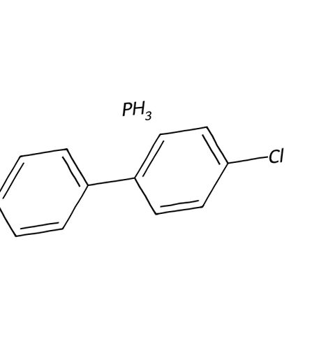 Clc1ccc(-c2ccccc2)cc1.P